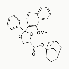 COc1c(C2(c3ccccc3)OCC(C(=O)OC34CC5CC(CC(C5)C3)C4)O2)ccc2ccccc12